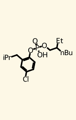 CCCCC(CC)COP(=O)(O)Oc1ccc(Cl)cc1CC(C)C